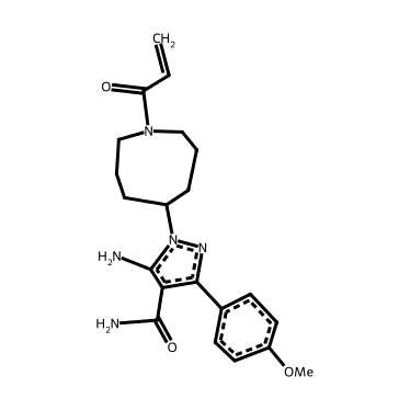 C=CC(=O)N1CCCC(n2nc(-c3ccc(OC)cc3)c(C(N)=O)c2N)CCC1